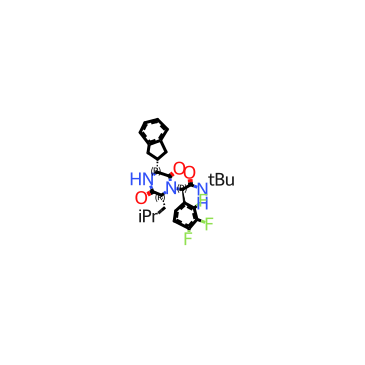 CC(C)C[C@@H]1C(=O)N[C@H](C2Cc3ccccc3C2)C(=O)N1[C@@H](C(=O)NC(C)(C)C)c1ccc(F)c(F)c1F